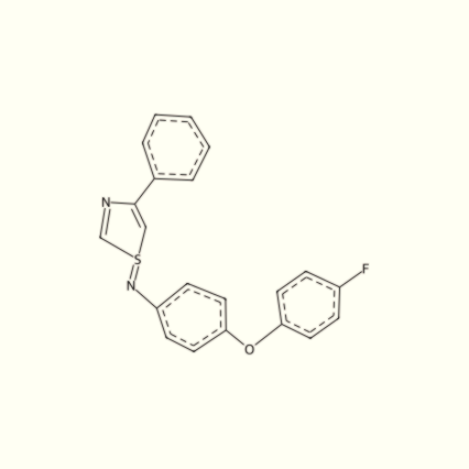 Fc1ccc(Oc2ccc(N=S3C=NC(c4ccccc4)=C3)cc2)cc1